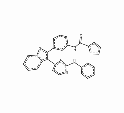 O=C(Nc1cccc(-c2nn3ccccc3c2-c2ccnc(Nc3ccccc3)n2)c1)c1cccs1